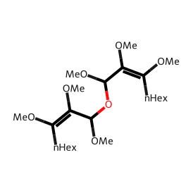 CCCCCCC(OC)=C(OC)C(OC)OC(OC)C(OC)=C(CCCCCC)OC